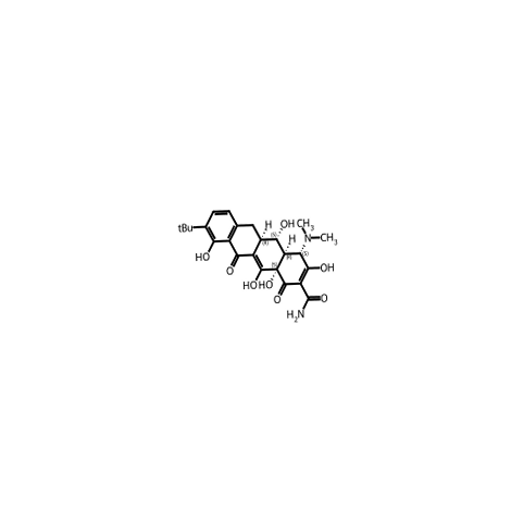 CN(C)[C@@H]1C(O)=C(C(N)=O)C(=O)[C@@]2(O)C(O)=C3C(=O)c4c(ccc(C(C)(C)C)c4O)C[C@H]3[C@H](O)[C@@H]12